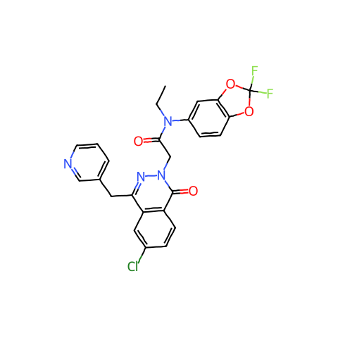 CCN(C(=O)Cn1nc(Cc2cccnc2)c2cc(Cl)ccc2c1=O)c1ccc2c(c1)OC(F)(F)O2